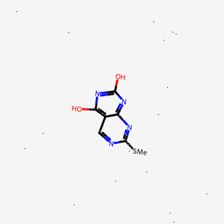 CSc1ncc2c(O)nc(O)nc2n1